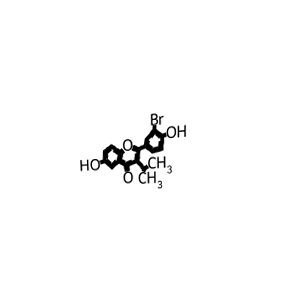 CC(C)c1c(-c2ccc(O)c(Br)c2)oc2ccc(O)cc2c1=O